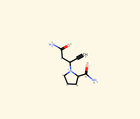 C#CC(CC(N)=O)N1CCCC1C(N)=O